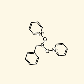 c1ccc(CB(O[n+]2ccccc2)O[n+]2ccccc2)cc1